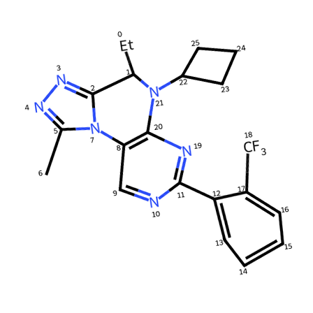 CCC1c2nnc(C)n2-c2cnc(-c3ccccc3C(F)(F)F)nc2N1C1CCC1